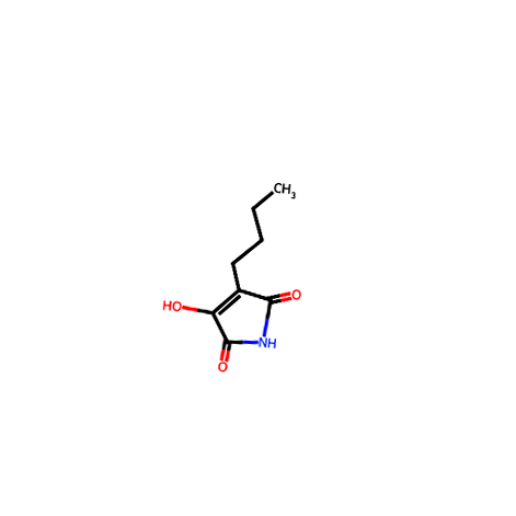 CCCCC1=C(O)C(=O)NC1=O